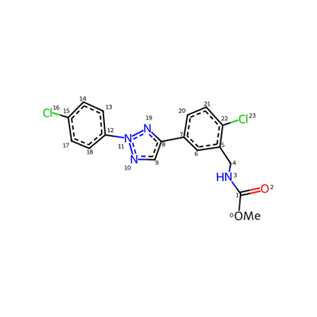 COC(=O)NCc1cc(-c2cnn(-c3ccc(Cl)cc3)n2)ccc1Cl